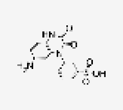 Nc1ccc2[nH]c(=O)c(=O)n(-c3cccc(S(=O)(=O)O)c3)c2c1